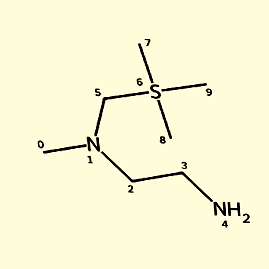 CN(CCN)CS(C)(C)C